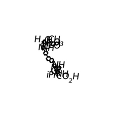 CC(C)[C@H](NC(=O)O)C(=O)N1CCC[C@H]1c1ncc(-c2ccc3cc(-c4ccc(-c5cnc([C@@H]6CCCN6C(=O)C(c6ccc7c(c6)OCO7)N(C)C)[nH]5)cc4)ccc3c2)[nH]1